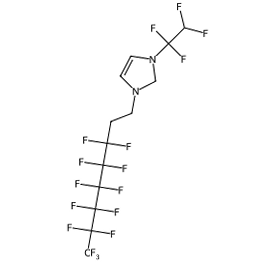 FC(F)C(F)(F)N1C=CN(CCC(F)(F)C(F)(F)C(F)(F)C(F)(F)C(F)(F)C(F)(F)F)C1